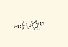 CC(C)(O)CCc1ccc(Cl)cc1